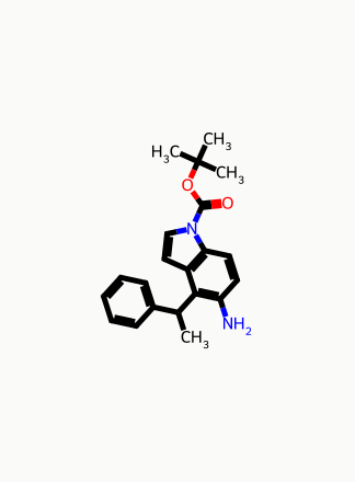 CC(c1ccccc1)c1c(N)ccc2c1ccn2C(=O)OC(C)(C)C